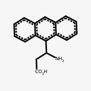 NC(CC(=O)O)c1c2ccccc2cc2ccccc12